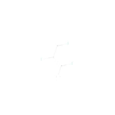 F/C(=C(/F)C(F)(F)F)C(F)F